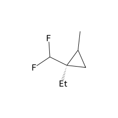 CC[C@@]1(C(F)F)CC1C